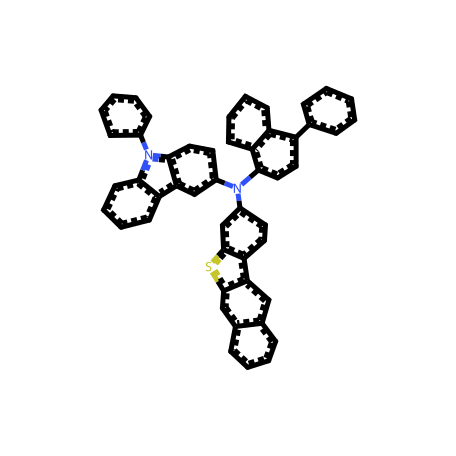 c1ccc(-c2ccc(N(c3ccc4c(c3)sc3cc5ccccc5cc34)c3ccc4c(c3)c3ccccc3n4-c3ccccc3)c3ccccc23)cc1